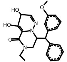 CCN1CC(C(c2ccccc2)c2cccc(OC)c2)N2N=CC(O)C(O)=C2C1=O